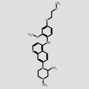 COCCOc1ccc(Nc2ccnc3cc(N4CCN(C)CC4C)ccc23)c(OC)c1